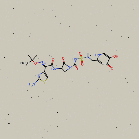 CC(C)(O/N=C(/C(=O)NC1CN(C(=O)NS(=O)(=O)NCc2cc(=O)c(O)c[nH]2)C1=O)c1csc(N)n1)C(=O)O